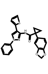 O=C(Nc1nn(-c2ccccc2)cc1-c1cccs1)C1(c2ccc3c(c2)OCO3)CC1